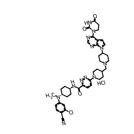 CN(c1ccc(C#N)c(Cl)c1)[C@H]1CC[C@H](NC(=O)c2ccc(N3CCC(CN4CCC(n5ccc6c(N7CCC(=O)NC7=O)ncnc65)CC4)CC3)nn2)CC1.Cl